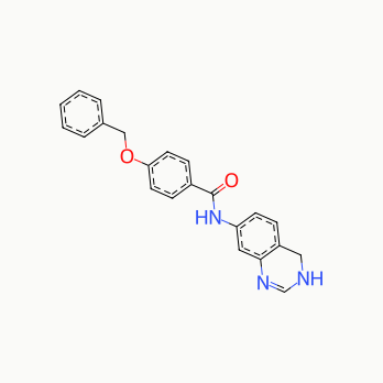 O=C(Nc1ccc2c(c1)N=CNC2)c1ccc(OCc2ccccc2)cc1